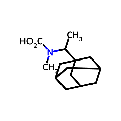 CC(N(C)C(=O)O)C12CC3CC(CC(C3)C1)C2